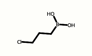 OB(O)CCCCl